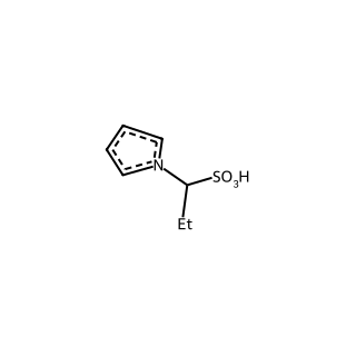 CCC(n1cccc1)S(=O)(=O)O